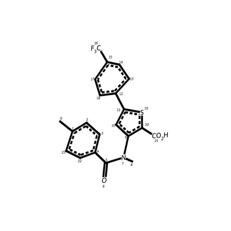 Cc1ccc(C(=O)N(C)c2cc(-c3ccc(C(F)(F)F)cc3)sc2C(=O)O)cc1